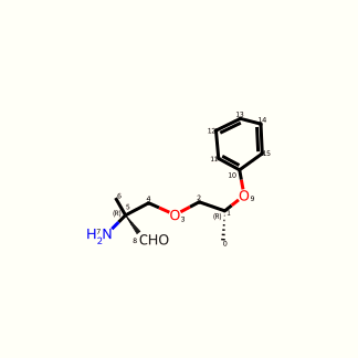 C[C@H](COC[C@@](C)(N)C=O)Oc1ccccc1